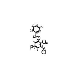 COc1c(CCl)cc(F)cc1OCc1ccccc1